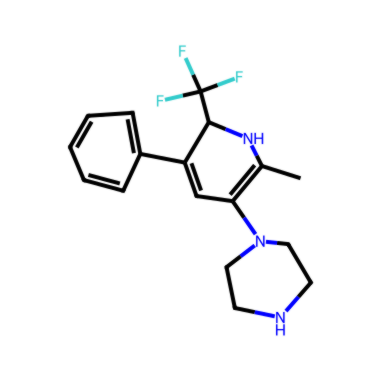 CC1=C(N2CCNCC2)C=C(c2ccccc2)C(C(F)(F)F)N1